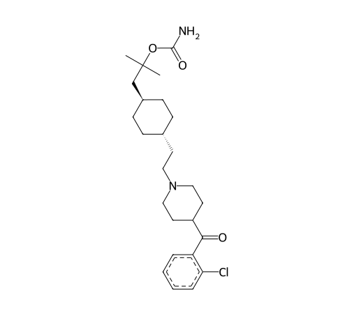 CC(C)(C[C@H]1CC[C@H](CCN2CCC(C(=O)c3ccccc3Cl)CC2)CC1)OC(N)=O